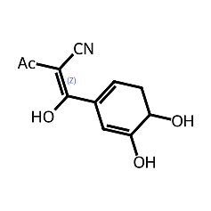 CC(=O)/C(C#N)=C(\O)C1=CCC(O)C(O)=C1